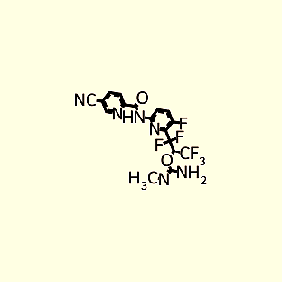 C/N=C(/N)O[C@H](C(F)(F)F)C(F)(F)c1nc(NC(=O)c2ccc(C#N)cn2)ccc1F